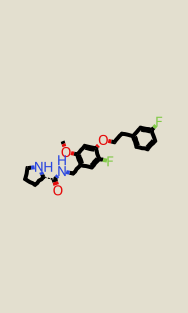 COc1cc(OCCc2cccc(F)c2)c(F)cc1CNC(=O)[C@@H]1CCCN1